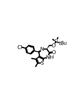 Cc1sc2c(c1C)C(c1ccc(Cl)cc1)=N[C@@H](CO[Si](C)(C)C(C)(C)C)C(=O)N2